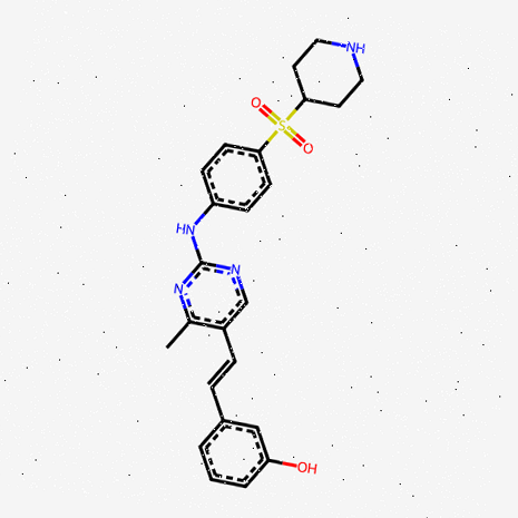 Cc1nc(Nc2ccc(S(=O)(=O)C3CCNCC3)cc2)ncc1C=Cc1cccc(O)c1